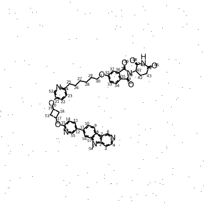 Cn1c2ccncc2c2ccc(-c3ccc(OC4CC(Oc5ccc(CCCCCCOc6ccc7c(c6)C(=O)N(C6CCC(=O)NC6=O)C7=O)nc5)C4)nc3)cc21